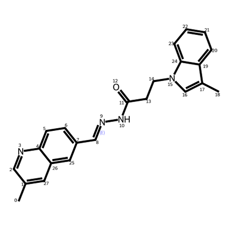 Cc1cnc2ccc(/C=N/NC(=O)CCn3cc(C)c4ccccc43)cc2c1